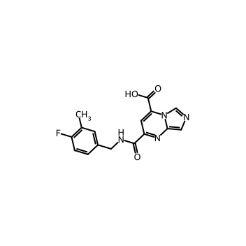 Cc1cc(CNC(=O)c2cc(C(=O)O)n3cncc3n2)ccc1F